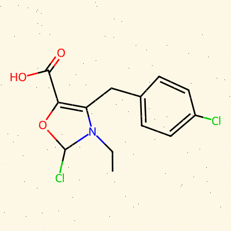 CCN1C(Cc2ccc(Cl)cc2)=C(C(=O)O)OC1Cl